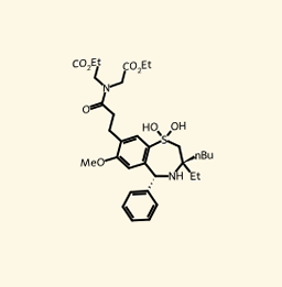 CCCC[C@]1(CC)CS(O)(O)c2cc(CCC(=O)N(CC(=O)OCC)CC(=O)OCC)c(OC)cc2[C@@H](c2ccccc2)N1